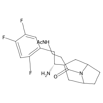 CC(=O)NCCC(=O)N1C2CCC1CC([C@H](N)Cc1cc(F)c(F)cc1F)C2